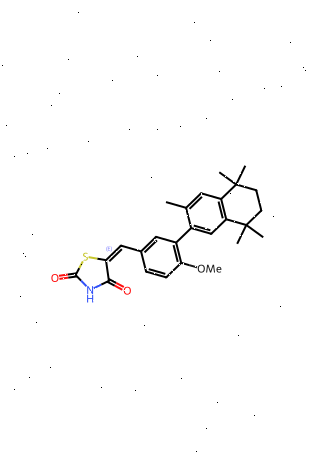 COc1ccc(/C=C2/SC(=O)NC2=O)cc1-c1cc2c(cc1C)C(C)(C)CCC2(C)C